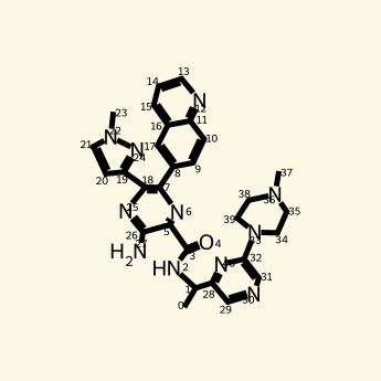 CC(NC(=O)c1nc(-c2ccc3ncccc3c2)c(-c2ccn(C)n2)nc1N)c1cncc(N2CCN(C)CC2)n1